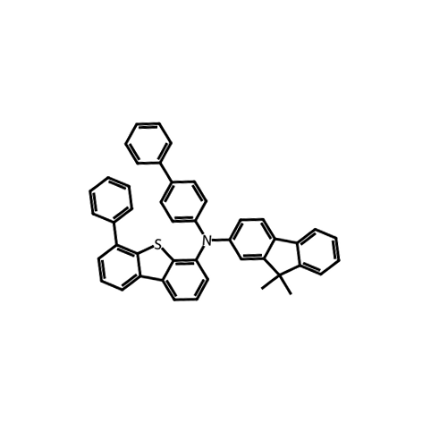 CC1(C)c2ccccc2-c2ccc(N(c3ccc(-c4ccccc4)cc3)c3cccc4c3sc3c(-c5ccccc5)cccc34)cc21